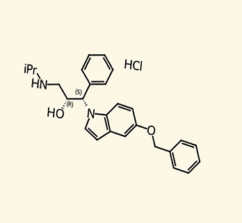 CC(C)NC[C@@H](O)[C@H](c1ccccc1)n1ccc2cc(OCc3ccccc3)ccc21.Cl